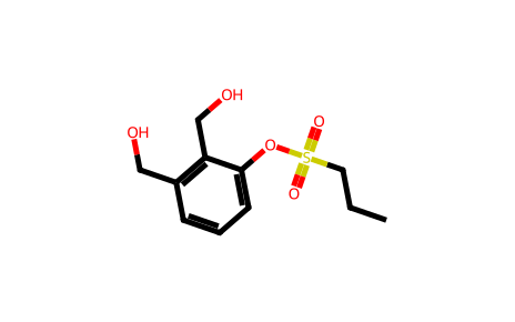 CCCS(=O)(=O)Oc1cccc(CO)c1CO